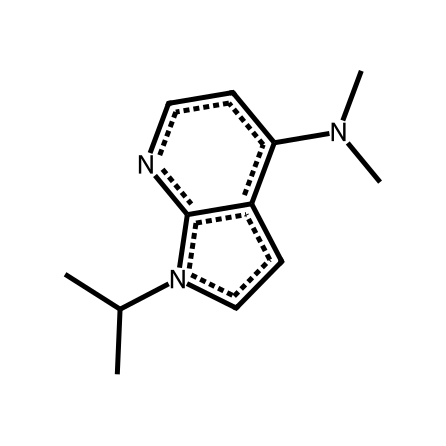 CC(C)n1ccc2c(N(C)C)ccnc21